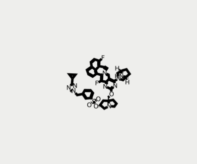 C#Cc1c(F)ccc2cccc(-c3ncc4c(N5C[C@H]6CC[C@@H](C5)N6)nc(OC[C@@]56CCCN5C[C@H](OS(=O)(=O)c5cccc(Cn7cnc(C8CC8)n7)c5)C6)nc4c3F)c12